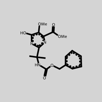 COC(=O)c1nc(C(C)(C)NC(=O)OCc2ccccc2)nc(O)c1OC